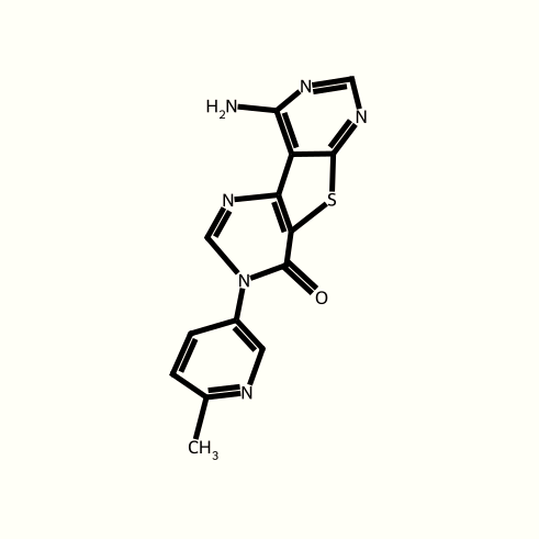 Cc1ccc(-n2cnc3c(sc4ncnc(N)c43)c2=O)cn1